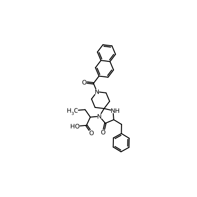 CCC(C(=O)O)N1C(=O)C(Cc2ccccc2)NC12CCN(C(=O)c1ccc3ccccc3c1)CC2